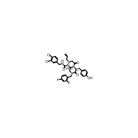 C=CCN1CC(=O)N2[C@@H](Cc3ccc(O)cc3)C(=O)N(Cc3ccc(F)cc3F)C[C@@H]2N1C(=O)NCc1ccc(Cl)c(Cl)c1